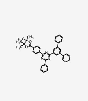 CC1(C)OB(c2ccc(-c3nc(-c4ccccc4)nc(-c4cc(C5=CCCC=C5)cc(-c5ccccc5)c4)n3)cc2)OC1(C)C